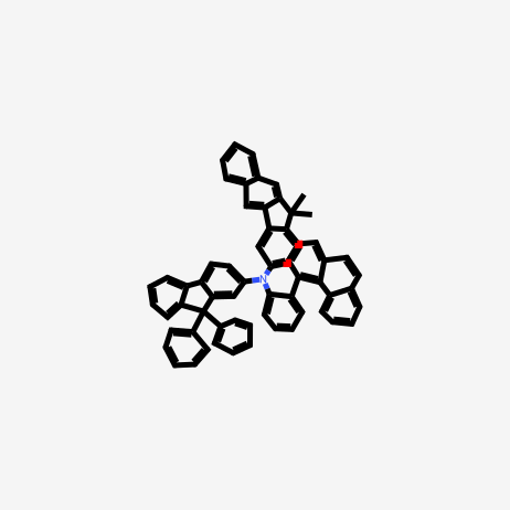 CC1(C)c2ccc(N(c3ccc4c(c3)C(c3ccccc3)(c3ccccc3)c3ccccc3-4)c3ccccc3-c3cccc4ccc5ccccc5c34)cc2-c2cc3ccccc3cc21